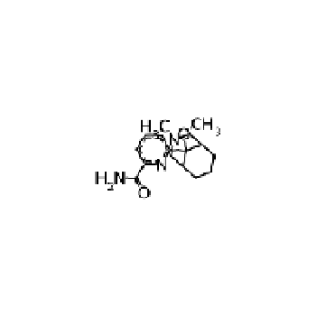 COC1(c2cccc(C(N)=O)n2)C2CCCC1CN(C)C2